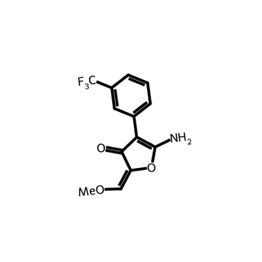 COC=C1OC(N)=C(c2cccc(C(F)(F)F)c2)C1=O